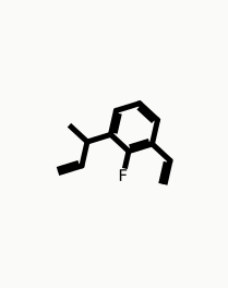 C=C[C](C)c1cccc(C=C)c1F